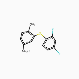 O=C(O)c1ccc([N+](=O)[O-])c(Sc2ccc(F)cc2F)c1